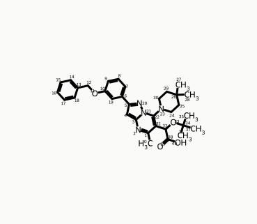 Cc1nc2cc(-c3cccc(OCc4ccccc4)c3)nn2c(N2CCC(C)(C)CC2)c1C(OC(C)(C)C)C(=O)O